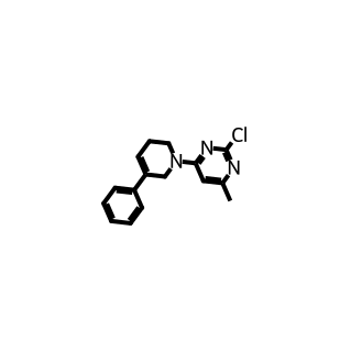 Cc1cc(N2CCC=C(c3ccccc3)C2)nc(Cl)n1